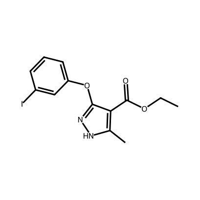 CCOC(=O)c1c(Oc2cccc(I)c2)n[nH]c1C